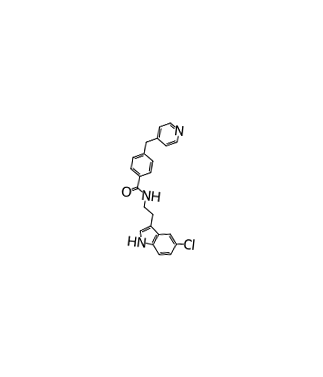 O=C(NCCc1c[nH]c2ccc(Cl)cc12)c1ccc(Cc2ccncc2)cc1